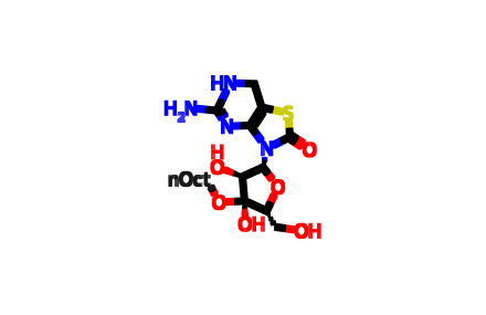 CCCCCCCCO[C@@]1(O)[C@@H](CO)O[C@@H](n2c3c(sc2=O)CNC(N)=N3)[C@@H]1O